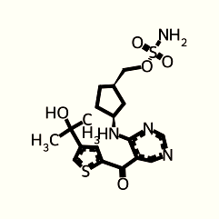 CC(C)(O)c1csc(C(=O)c2cncnc2N[C@H]2CC[C@@H](COS(N)(=O)=O)C2)c1